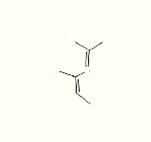 C/C=C(CCC)\N=C(\C)C(C)(C)C